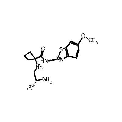 CC(C)[C@@H](N)CNC1(C(=O)Nc2nc3ccc(OC(F)(F)F)cc3s2)CCC1